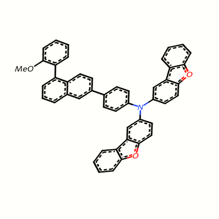 COc1ccccc1-c1cccc2cc(-c3ccc(N(c4ccc5oc6ccccc6c5c4)c4ccc5oc6ccccc6c5c4)cc3)ccc12